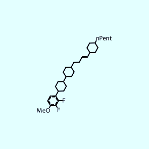 CCCCCC1CCC(/C=C/CCC2CCC(C3CCC(c4ccc(OC)c(F)c4F)CC3)CC2)CC1